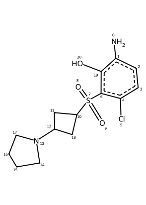 Nc1ccc(Cl)c(S(=O)(=O)C2CC(N3CCCC3)C2)c1O